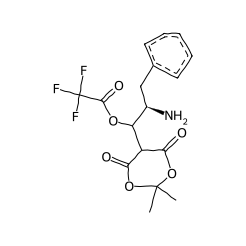 CC1(C)OC(=O)C(C(OC(=O)C(F)(F)F)[C@H](N)Cc2ccccc2)C(=O)O1